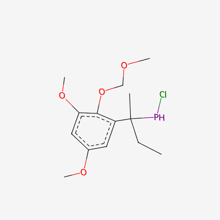 CCC(C)(PCl)c1cc(OC)cc(OC)c1OCOC